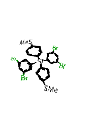 CSc1ccc([Si](c2ccc(SC)cc2)(c2cc(Br)cc(Br)c2)c2cc(Br)cc(Br)c2)cc1